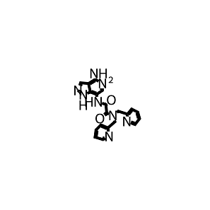 Nc1ncc(NC(=O)C(=O)N(Cc2ccccn2)Cc2ccccn2)c2[nH]ncc12